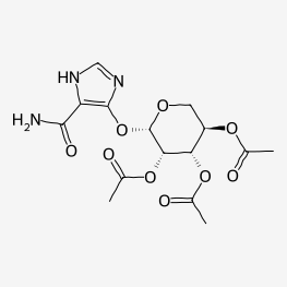 CC(=O)O[C@@H]1[C@H](Oc2nc[nH]c2C(N)=O)OC[C@@H](OC(C)=O)[C@@H]1OC(C)=O